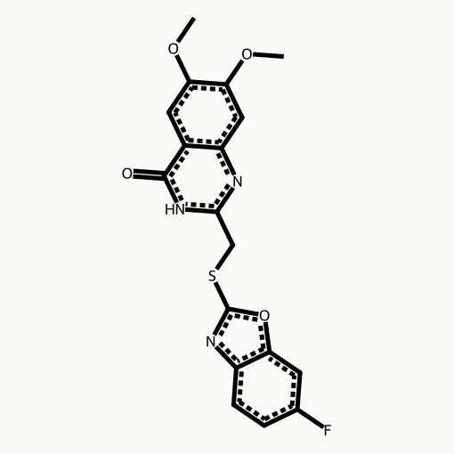 COc1cc2nc(CSc3nc4ccc(F)cc4o3)[nH]c(=O)c2cc1OC